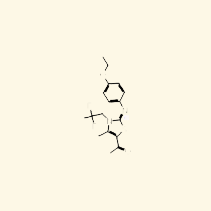 CCOc1ccc(/N=c2/sc(C(C)=O)c(C)n2CC(F)(F)F)cc1